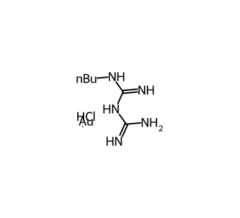 CCCCNC(=N)NC(=N)N.Cl.[Au]